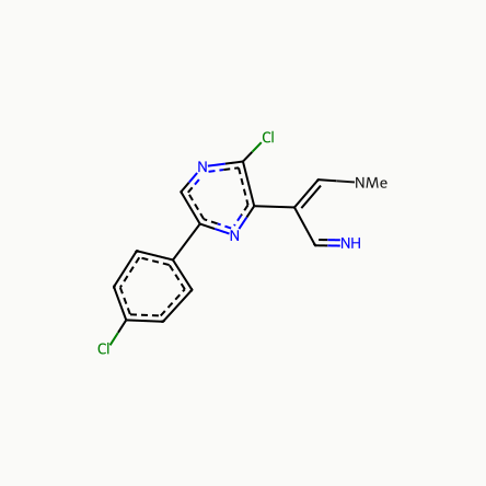 CN/C=C(\C=N)c1nc(-c2ccc(Cl)cc2)cnc1Cl